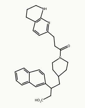 O=C(O)CC(CC1CCN(C(=O)CCc2ccc3c(n2)NCCC3)CC1)c1ccc2ccccc2c1